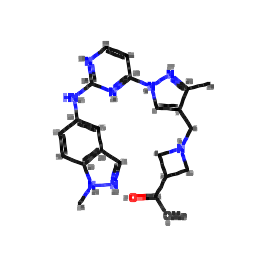 COC(=O)C1CN(Cc2cn(-c3ccnc(Nc4ccc5c(cnn5C)c4)n3)nc2C)C1